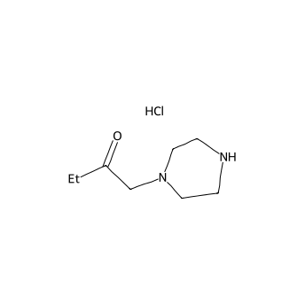 CCC(=O)CN1CCNCC1.Cl